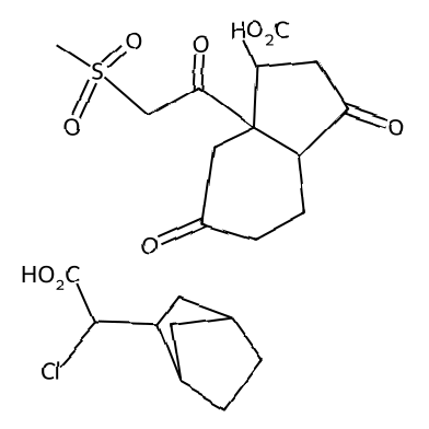 CS(=O)(=O)CC(=O)C12CC(=O)CCC1C(=O)CC2C(=O)O.O=C(O)C(Cl)C1CC2CCC1C2